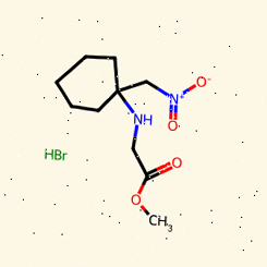 Br.COC(=O)CNC1(C[N+](=O)[O-])CCCCC1